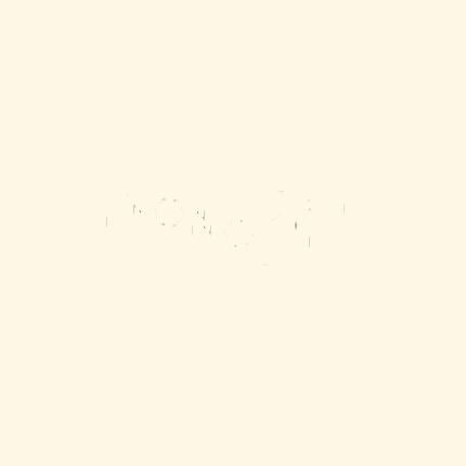 COC(=O)C1=C(F)C(F)C(C)(c2ccc(NNc3ccc(N(C)C)cc3)cc2)C(F)=C1F